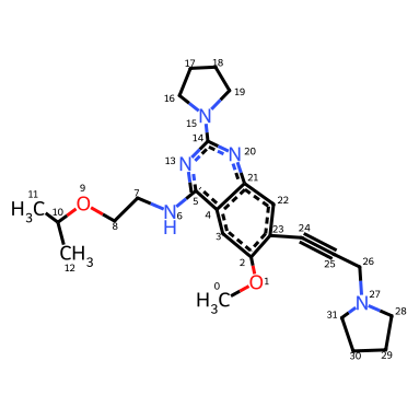 COc1cc2c(NCCOC(C)C)nc(N3CCCC3)nc2cc1C#CCN1CCCC1